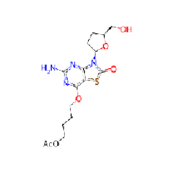 CC(=O)OCCCCOc1nc(N)nc2c1sc(=O)n2[C@H]1CC[C@@H](CO)O1